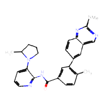 CNc1ncc2cc(-c3cc(C(=O)Nc4ncccc4N4CCCC4C)ccc3C)ccc2n1